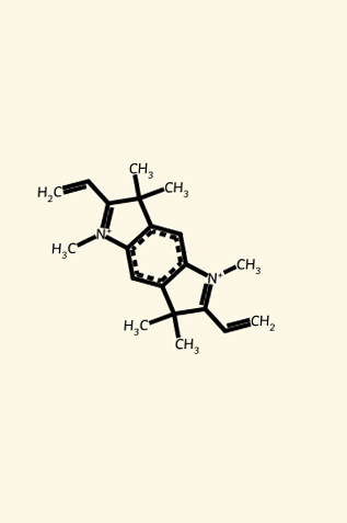 C=CC1=[N+](C)c2cc3c(cc2C1(C)C)[N+](C)=C(C=C)C3(C)C